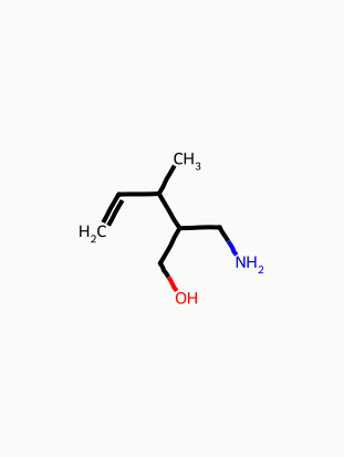 C=CC(C)C(CN)CO